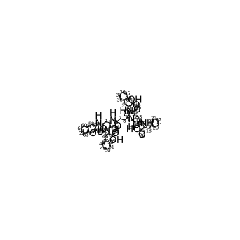 O=C(CC(NC(=O)CCC(=O)NC(CC(=O)NC(Cc1ccccc1)C(=O)O)C(=O)NC(Cc1ccccc1)C(=O)O)C(=O)NC(Cc1ccccc1)C(=O)O)NC(Cc1ccccc1)C(=O)O